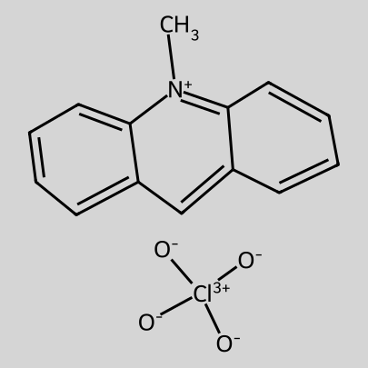 C[n+]1c2ccccc2cc2ccccc21.[O-][Cl+3]([O-])([O-])[O-]